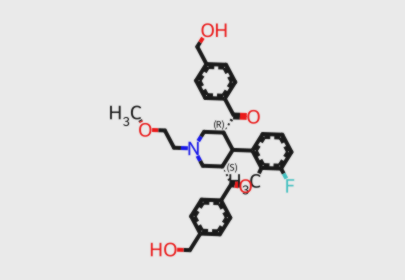 COCCN1C[C@H](C(=O)c2ccc(CO)cc2)C(c2cccc(F)c2C)[C@H](C(=O)c2ccc(CO)cc2)C1